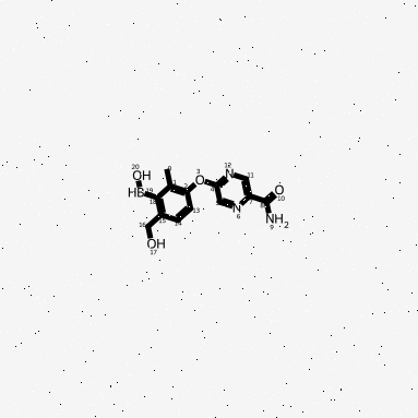 Cc1c(Oc2cnc(C(N)=O)cn2)ccc(CO)c1BO